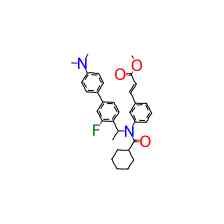 COC(=O)/C=C/c1cccc(N(C(=O)C2CCCCC2)C(C)c2ccc(-c3ccc(N(C)C)cc3)cc2F)c1